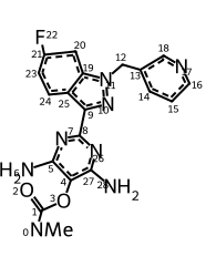 CNC(=O)Oc1c(N)nc(-c2nn(Cc3cccnc3)c3cc(F)ccc23)nc1N